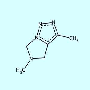 Cc1nnn2c1CN(C)C2